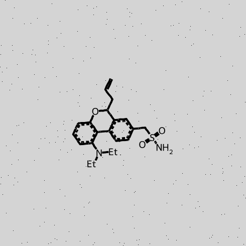 C=CCC1Oc2cccc(N(CC)CC)c2-c2ccc(CS(N)(=O)=O)cc21